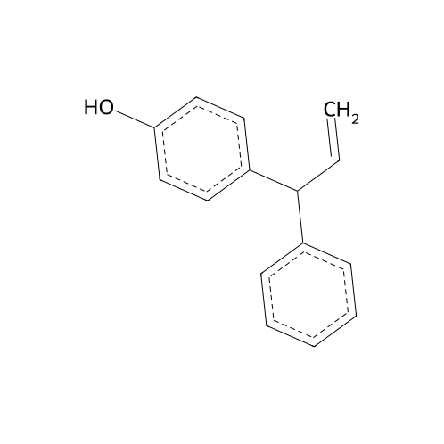 C=CC(c1ccccc1)c1ccc(O)cc1